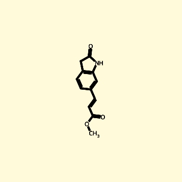 COC(=O)/C=C/c1ccc2c(c1)NC(=O)C2